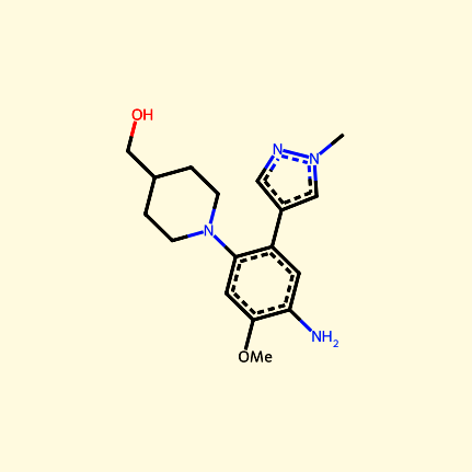 COc1cc(N2CCC(CO)CC2)c(-c2cnn(C)c2)cc1N